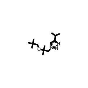 CC(C)c1cn(CC(C)(C)OCC(C)(C)C)nn1